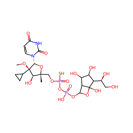 CO[C@@]1(C2CC2)[C@H](n2ccc(=O)[nH]c2=O)O[C@](C)(COP(=O)(S)OP(=O)(O)OC2OC3(O)C2C(O)C(O)C3[C@@H](O)CO)[C@H]1O